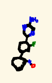 Nc1cnc(-c2ccc(-c3ccccc3N=O)cc2F)cn1